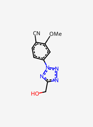 COc1cc(-n2nnc(CO)n2)ccc1C#N